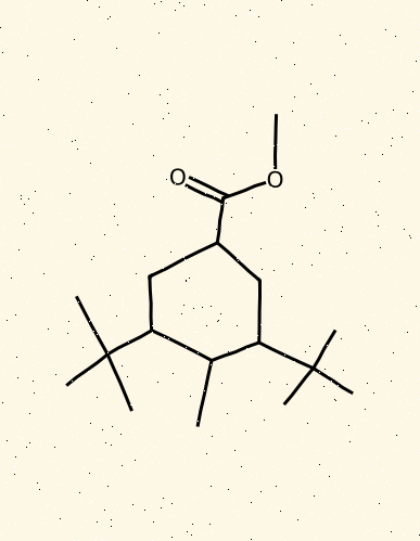 COC(=O)C1CC(C(C)(C)C)C(C)C(C(C)(C)C)C1